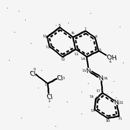 ClC(Cl)Cl.Oc1ccc2ccccc2c1N=Nc1ccccn1